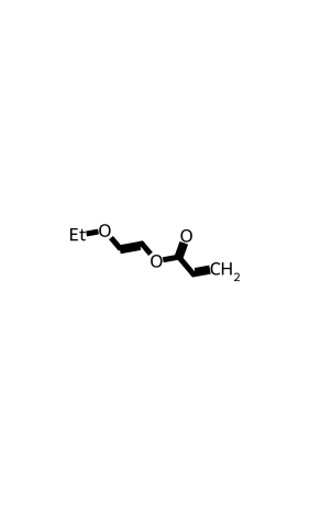 C=CC(=O)OC=COCC